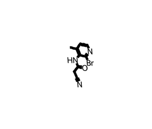 Cc1ccnc(Br)c1NC(=O)CC#N